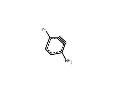 CC(C)c1c#cc(N)cc1